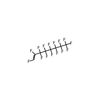 FC=C(F)C(F)(F)C(F)(F)C(F)(F)C(F)(F)C(F)(F)C(F)(F)F